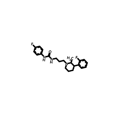 CC1C(c2ccccc2F)CCCN1CCCNC(=O)Nc1ccc(F)cc1